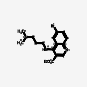 CCOC(=O)c1cnc2ccc(Br)cc2c1NCCCN(C)C